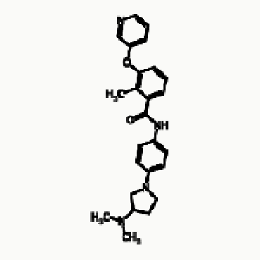 Cc1c(Oc2cccnc2)cccc1C(=O)Nc1ccc(N2CCC(N(C)C)C2)cc1